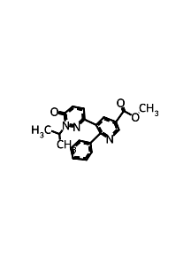 COC(=O)c1cnc(-c2ccccc2)c(-c2ccc(=O)n(C(C)C)n2)c1